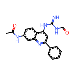 CC(=O)Nc1ccc2c(NC(=N)NC=O)cc(-c3ccccc3)nc2c1